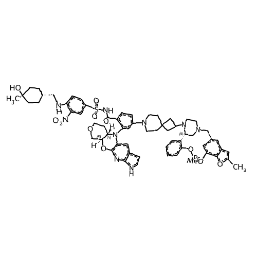 COc1cc(CN2CCN(C3CC4(CCN(c5ccc(C(=O)NS(=O)(=O)c6ccc(NC[C@H]7CC[C@](C)(O)CC7)c([N+](=O)[O-])c6)c(N6c7cc8cc[nH]c8nc7O[C@H]7COCC[C@@H]76)c5)CC4)C3)[C@@H](c3ccccc3OC(C)C)C2)cc2cc(C)oc12